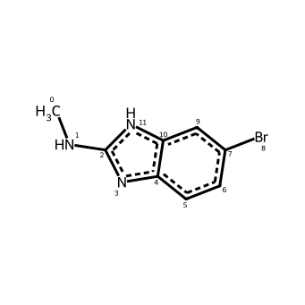 CNc1nc2ccc(Br)cc2[nH]1